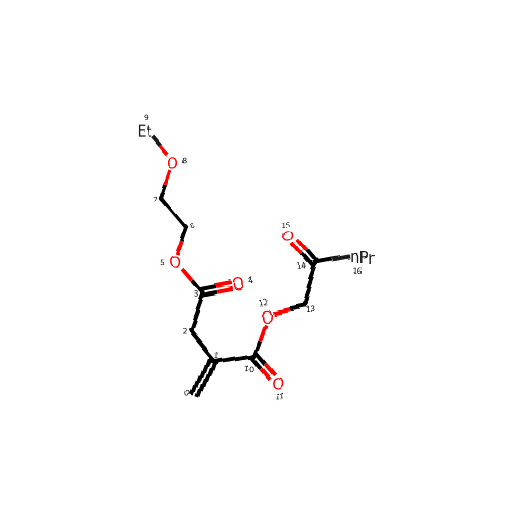 C=C(CC(=O)OCCOCC)C(=O)OCC(=O)CCC